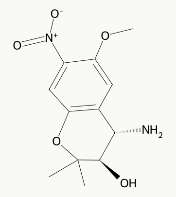 COc1cc2c(cc1[N+](=O)[O-])OC(C)(C)[C@H](O)[C@H]2N